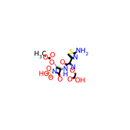 COC(=O)OC[C@@H]1[C@H](NC(=O)C(=NOCC(=O)O)c2csc(N)n2)C(=O)N1S(=O)(=O)O